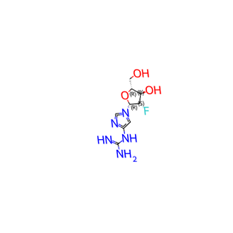 N=C(N)Nc1cn([C@@H]2O[C@H](CO)[C@@H](O)[C@@H]2F)cn1